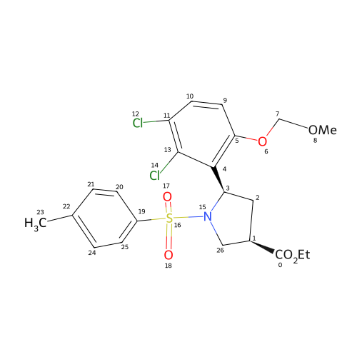 CCOC(=O)[C@@H]1C[C@H](c2c(OCOC)ccc(Cl)c2Cl)N(S(=O)(=O)c2ccc(C)cc2)C1